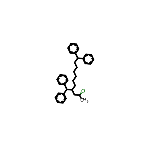 CC(Cl)CC(CCCCCCC(c1ccccc1)c1ccccc1)C(c1ccccc1)c1ccccc1